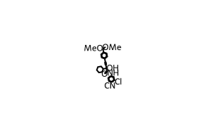 COC(OC)c1ccc(C#CC(O)(C(=O)Nc2ccc(C#N)c(Cl)c2)C2CCCCC2)cc1